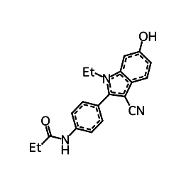 CCC(=O)Nc1ccc(-c2c(C#N)c3ccc(O)cc3n2CC)cc1